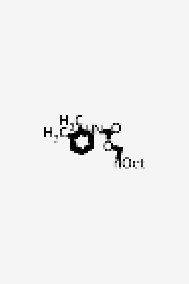 CCCCCCCCCOC(=O)Nc1cccc(C)c1C